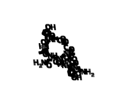 CC[C@H](C)[C@@H]1NC(=O)[C@@H](Cc2ccc(O)cc2)NC(=O)CCS(=O)(=O)CC[C@@H](C(=O)N(C)CC(=O)N[C@@H](Cc2ccc(O)cc2)C(=O)NCC(N)=O)NC(=O)[C@H](CC(N)=O)NC(=O)[C@H](CCC(N)=O)NC1=O